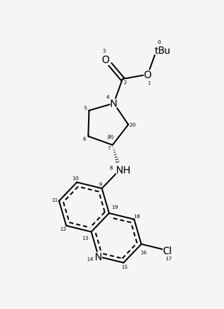 CC(C)(C)OC(=O)N1CC[C@@H](Nc2cccc3ncc(Cl)cc23)C1